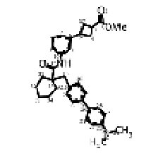 COC(=O)C1CC(c2cccc(NC(=O)C3(Cc4ccc(-c5ccc(N(C)C)cc5)cc4)CCCCC3)c2)C1